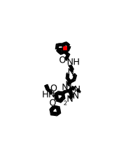 C=CC(=O)Nc1cc(-c2nn(C3CCN(CCNC(=O)CC45CC6CC(CC(C6)C4)C5)CC3)c3ncnc(N)c23)ccc1Oc1ccccc1